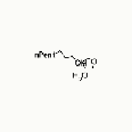 C1CCOC1.CCCCCCCCO.O